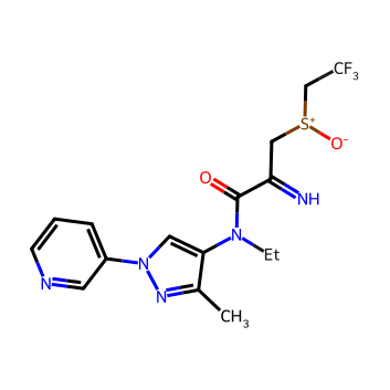 CCN(C(=O)C(=N)C[S+]([O-])CC(F)(F)F)c1cn(-c2cccnc2)nc1C